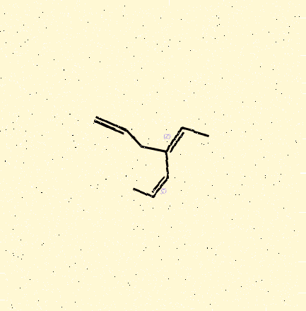 C=CCC(/C=C\C)=C/C